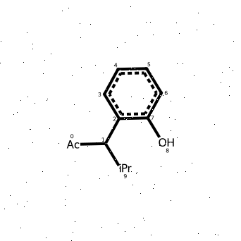 CC(=O)C(c1ccccc1O)C(C)C